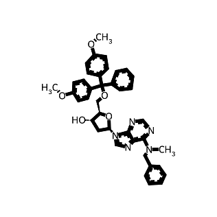 COc1ccc(C(OC[C@H]2O[C@@H](n3cnc4c(N(C)Cc5ccccc5)ncnc43)C[C@@H]2O)(c2ccccc2)c2ccc(OC)cc2)cc1